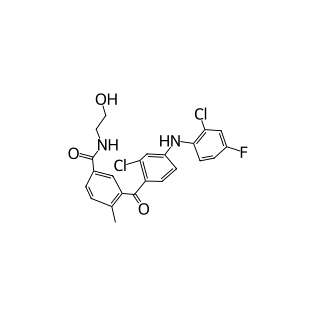 Cc1ccc(C(=O)NCCO)cc1C(=O)c1ccc(Nc2ccc(F)cc2Cl)cc1Cl